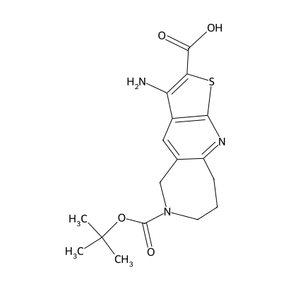 CC(C)(C)OC(=O)N1CCCc2nc3sc(C(=O)O)c(N)c3cc2C1